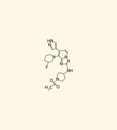 CS(=O)(=O)N1CCC(Nc2nc3c(N4CCCC(F)C4)c(-c4cn[nH]c4)ccn3n2)CC1